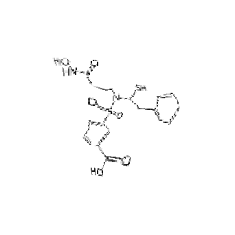 O=C(CCN(C(S)Cc1ccccc1)S(=O)(=O)c1cccc(C(=O)O)c1)NO